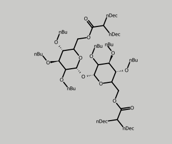 CCCCCCCCCCC(CCCCCCCCCC)C(=O)OCC1O[C@H](O[C@H]2OC(COC(=O)C(CCCCCCCCCC)CCCCCCCCCC)[C@@H](OCCCC)[C@H](OCCCC)C2OCCCC)C(OCCCC)[C@@H](OCCCC)[C@@H]1OCCCC